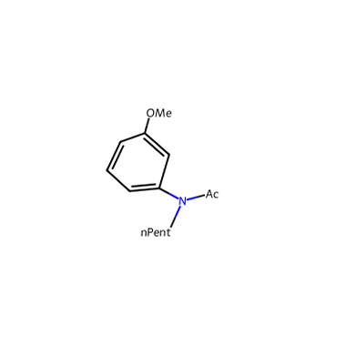 CCCCCN(C(C)=O)c1cccc(OC)c1